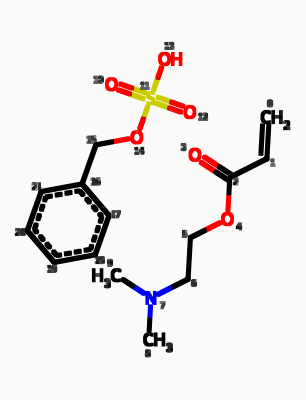 C=CC(=O)OCCN(C)C.O=S(=O)(O)OCc1ccccc1